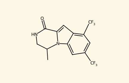 CC1CNC(=O)c2cc3c(C(F)(F)F)cc(C(F)(F)F)cc3n21